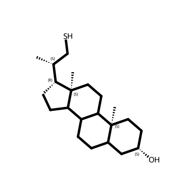 C[C@H](CS)[C@H]1CCC2C3CCC4C[C@@H](O)CC[C@]4(C)C3CC[C@@]21C